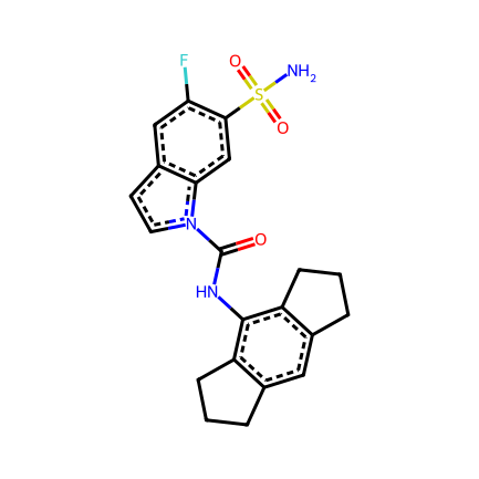 NS(=O)(=O)c1cc2c(ccn2C(=O)Nc2c3c(cc4c2CCC4)CCC3)cc1F